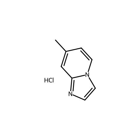 Cc1ccn2ccnc2c1.Cl